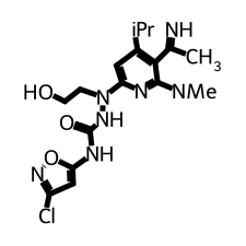 CNc1nc(N(CCO)NC(=O)Nc2cc(Cl)no2)cc(C(C)C)c1C(C)=N